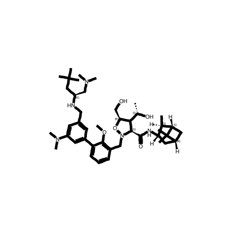 COc1c(CN2O[C@@H](CO)C([C@H](C)O)[C@H]2C(=O)N[C@H]2C[C@H]3C[C@@H]([C@@H]2C)C3(C)C)cccc1-c1cc(CN[C@H](CN(C)C)CC(C)(C)C)cc(N(C)C)c1